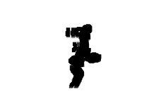 CC(C)(CNc1nc(-c2ccc(-c3cnco3)cc2)c(-c2ccccc2)s1)C(=O)O